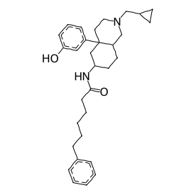 O=C(CCCCCc1ccccc1)NC1CCC2CN(CC3CC3)CCC2(c2cccc(O)c2)C1